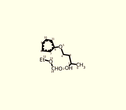 CC(O)CCOc1ccccc1.CCOC=O